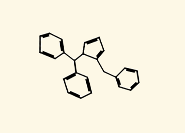 C1=C[C](C(c2ccccc2)c2ccccc2)C(Cc2ccccc2)=C1